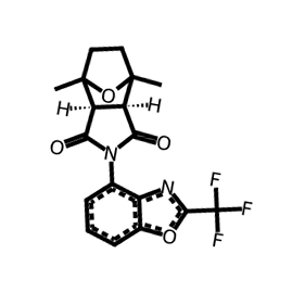 CC12CCC(C)(O1)[C@H]1C(=O)N(c3cccc4oc(C(F)(F)F)nc34)C(=O)[C@H]12